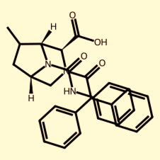 CC1C[C@H]2CN(C(=O)C(c3ccccc3)c3ccccc3)[C@H](C(=O)O)[C@@H]1N2C(=O)Nc1ccccc1